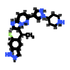 CC(c1cc2cn[nH]c2cc1F)c1cnc2ccc(-c3cnn(C4CCNCC4)c3)nn12